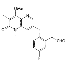 COc1c(C)c(=O)n(C)c2cc(Cc3ccc(F)cc3CC=O)cnc12